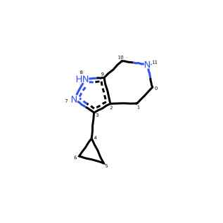 C1Cc2c(C3CC3)n[nH]c2C[N]1